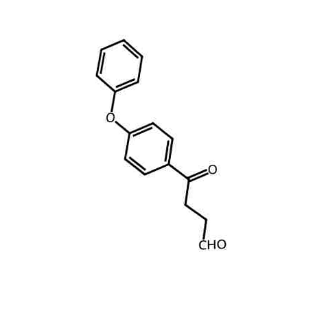 O=CCCC(=O)c1ccc(Oc2ccccc2)cc1